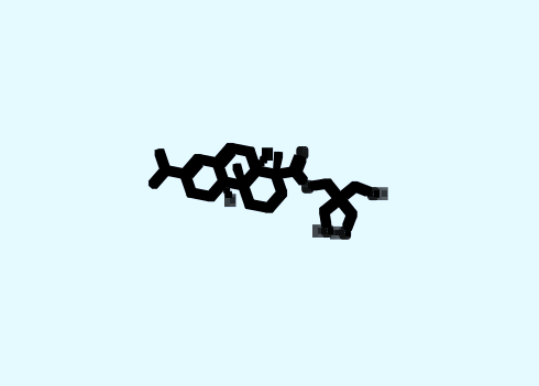 CC(C)C1=CC2=CC[C@@H]3[C@](C)(CCC[C@@]3(C)C(=O)OCC(CO)(CO)CO)[C@H]2CC1